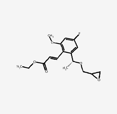 CCOC(=O)/C=C/c1c(OC)cc(F)cc1[C@@H](C)OCC1CO1